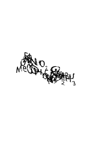 CC[C@@H]1CC(=O)CN1C(=O)c1cc(OC)c(OCCCCCOc2cc([N+](=O)[O-])c(C(=O)N3CC(=O)C[C@H]3CO[Si](C)(C)C(C)(C)C)cc2C)cc1[N+](=O)[O-]